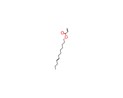 C=CC(=O)OCCCCCCCC=CCCC